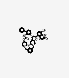 O=C(Nc1ccccc1-c1ccccc1)OC1CCN(Cc2cccc(CN3CCC(NC[C@@H](O)c4ccc(O)c5[nH]c(=O)ccc45)CC3)c2F)CC1